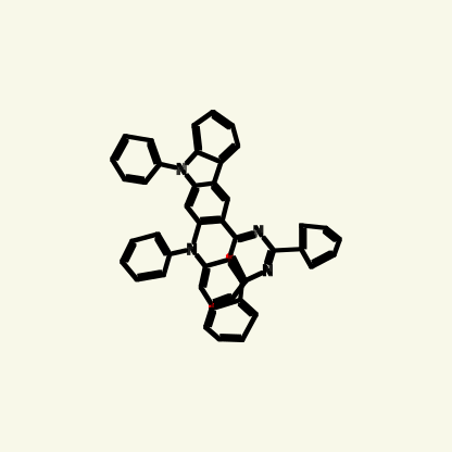 c1ccc(-c2cc(-c3cc4c5ccccc5n(-c5ccccc5)c4cc3N(c3ccccc3)c3ccccc3)nc(-c3ccccc3)n2)cc1